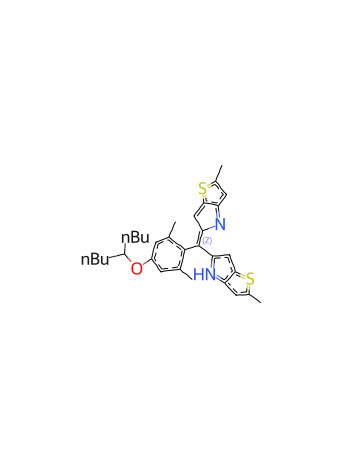 CCCCC(CCCC)Oc1cc(C)c(/C(=C2\C=c3sc(C)cc3=N2)c2cc3sc(C)cc3[nH]2)c(C)c1